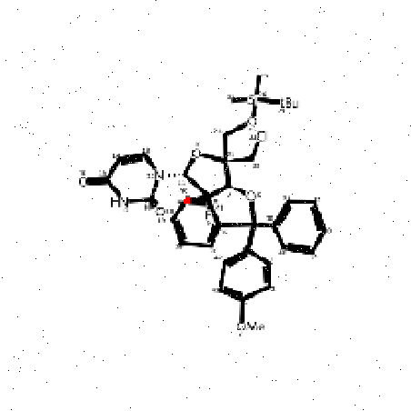 COc1ccc(C(O[C@H]2C(F)(F)[C@H](n3ccc(=O)[nH]c3=O)O[C@]2(CCl)CO[Si](C)(C)C(C)(C)C)(c2ccccc2)c2ccccc2)cc1